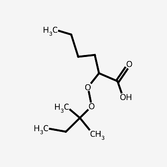 CCCCC(OOC(C)(C)CC)C(=O)O